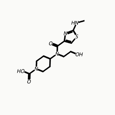 CNc1nc(C(=O)N(CCO)C2CCN(C(=O)O)CC2)cs1